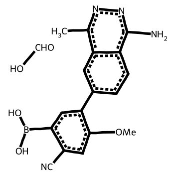 COc1cc(C#N)c(B(O)O)cc1-c1ccc2c(N)nnc(C)c2c1.O=CO